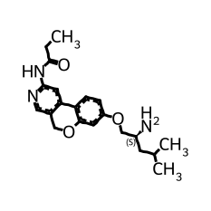 CCC(=O)Nc1cc2c(cn1)COc1cc(OC[C@@H](N)CC(C)C)ccc1-2